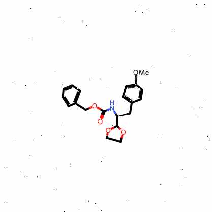 COc1ccc(C[C@H](NC(=O)OCc2ccccc2)C2OCCO2)cc1